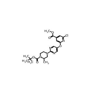 COC(=O)c1cc(Cl)nc(Oc2cnc(N3CCN(C(=O)OC(C)(C)C)C(C)C3)nc2)c1